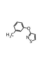 Cc1cccc(Oc2ccsn2)c1